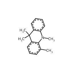 Cc1cccc2c1N(C)c1ccccc1C2(C)C